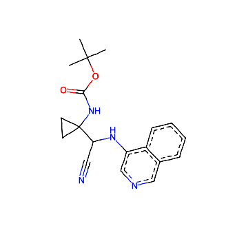 CC(C)(C)OC(=O)NC1(C(C#N)Nc2cncc3ccccc23)CC1